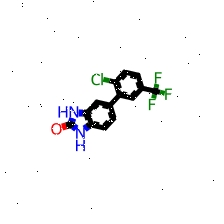 O=c1[nH]c2ccc(-c3cc(C(F)(F)F)ccc3Cl)cc2[nH]1